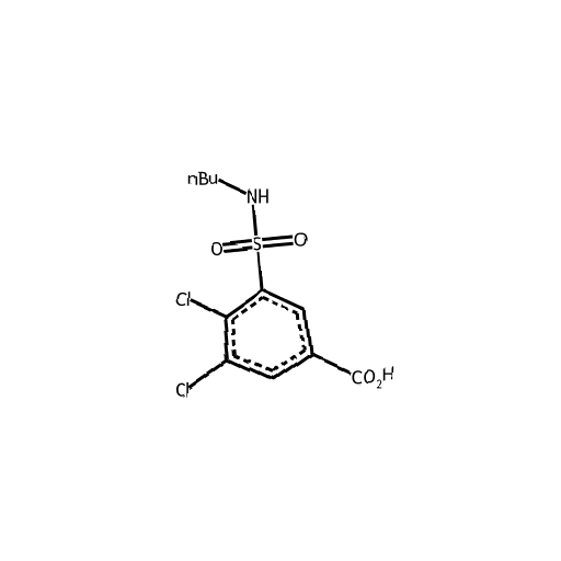 CCCCNS(=O)(=O)c1cc(C(=O)O)cc(Cl)c1Cl